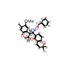 COc1cc2c(cc1C)OC[C@H]1Oc3c(ccc4c3C=CC(C)(C)O4)/C(=N\OCc3ccccc3)[C@@H]21